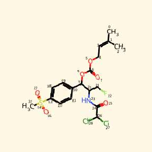 CC(C)=CCOC(=O)OC(c1ccc(S(C)(=O)=O)cc1)C(CF)NC(=O)C(Cl)Cl